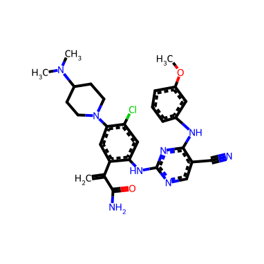 C=C(C(N)=O)c1cc(N2CCC(N(C)C)CC2)c(Cl)cc1Nc1ncc(C#N)c(Nc2cccc(OC)c2)n1